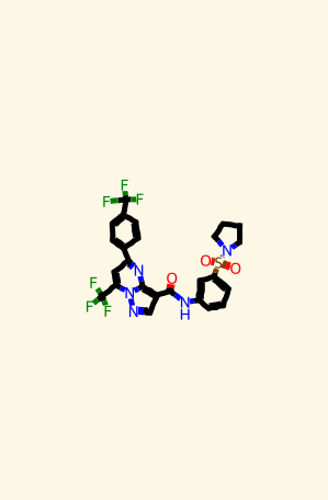 O=C(Nc1cccc(S(=O)(=O)N2CCCC2)c1)c1cnn2c(C(F)(F)F)cc(-c3ccc(C(F)(F)F)cc3)nc12